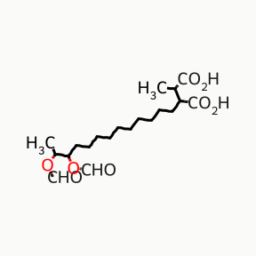 CC(OC=O)C(CCCCCCCCCCC(C(=O)O)C(C)C(=O)O)OC=O